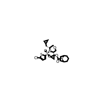 O=C(OC1([C@H]2COC[C@@H](CC3CC3)N2S(=O)(=O)c2ccc(Cl)s2)CC1)N1C2CCCC1CC2